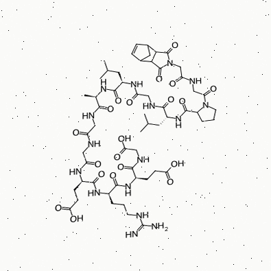 CC(C)C[C@@H](NC(=O)CNC(=O)[C@@H](CC(C)C)NC(=O)C1CCCN1C(=O)CNC(=O)CN1C(=O)C2C3C=CC(C3)C2C1=O)C(=O)N[C@H](C)C(=O)NCC(=O)NCC(=O)N[C@H](CCC(=O)O)C(=O)N[C@H](CCCNC(=N)N)C(=O)N[C@H](CCC(=O)O)C(=O)NCC(=O)O